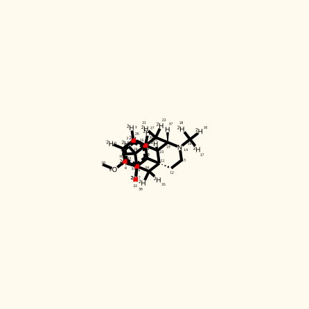 [2H]c1c([2H])c2c(c([2H])c1OC)[C@@]13CCN(C([2H])([2H])[2H])[C@@H](C2([2H])[2H])[C@@]1([2H])C([2H])([2H])C([2H])(C)C([2H])([2H])C3([2H])[2H]